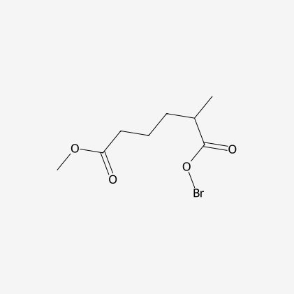 COC(=O)CCCC(C)C(=O)OBr